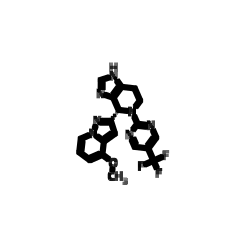 COc1cccn2nc([C@@H]3c4nc[nH]c4CCN3c3ncc(C(F)(F)F)cn3)cc12